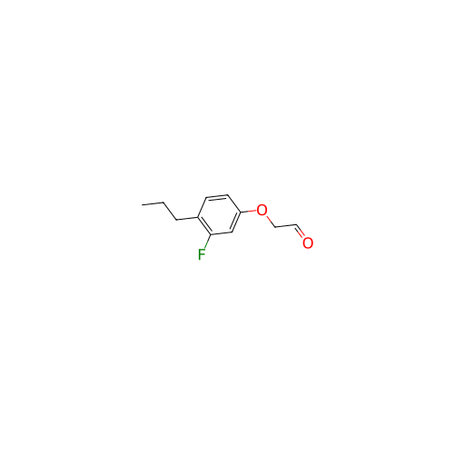 CCCc1ccc(OCC=O)cc1F